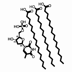 CCCCCCCCCCCCCCCCC(=O)O.CCCCCCCCCCCCCCCCC(=O)O.CCCCCCCCCCCCCCCCC(=O)O.Cc1cn([C@H]2C[C@H](O)[C@@H](COP(=O)(O)O)O2)c(=O)[nH]c1=O